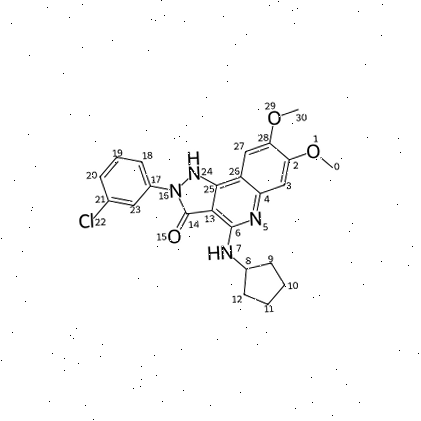 COc1cc2nc(NC3CCCC3)c3c(=O)n(-c4cccc(Cl)c4)[nH]c3c2cc1OC